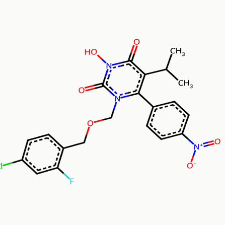 CC(C)c1c(-c2ccc([N+](=O)[O-])cc2)n(COCc2ccc(Cl)cc2F)c(=O)n(O)c1=O